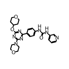 O=C(Nc1ccc(-c2nc(OC3CCOCC3)nc(N3CCOCC3)n2)cc1)Nc1cccnc1